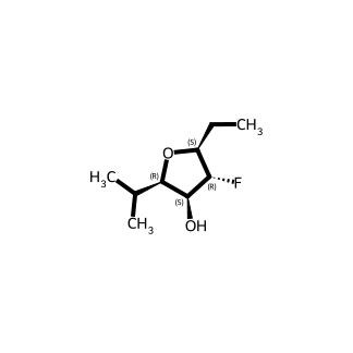 CC[C@@H]1O[C@H](C(C)C)[C@H](O)[C@H]1F